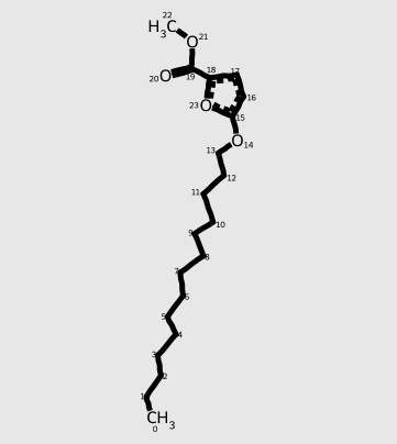 CCCCCCCCCCCCCCOc1ccc(C(=O)OC)o1